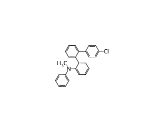 CN(c1ccccc1)c1ccccc1-c1ccccc1-c1ccc(Cl)cc1